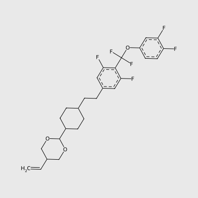 C=CC1COC(C2CCC(CCc3cc(F)c(C(F)(F)Oc4ccc(F)c(F)c4)c(F)c3)CC2)OC1